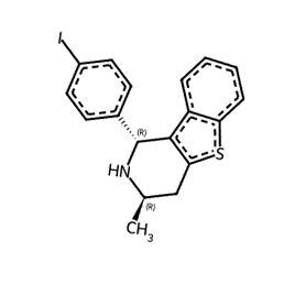 C[C@@H]1Cc2sc3ccccc3c2[C@@H](c2ccc(I)cc2)N1